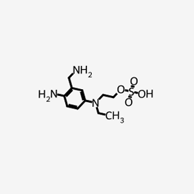 CCN(CCOS(=O)(=O)O)c1ccc(N)c(CN)c1